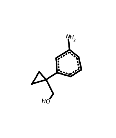 Nc1cccc(C2(CO)CC2)c1